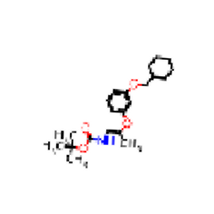 CC(CNC(=O)OC(C)(C)C)Oc1cccc(OCC2CCCCC2)c1